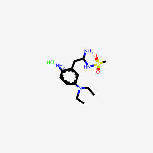 CCN(CC)c1ccc(N)c(CC(N)NS(C)(=O)=O)c1.Cl